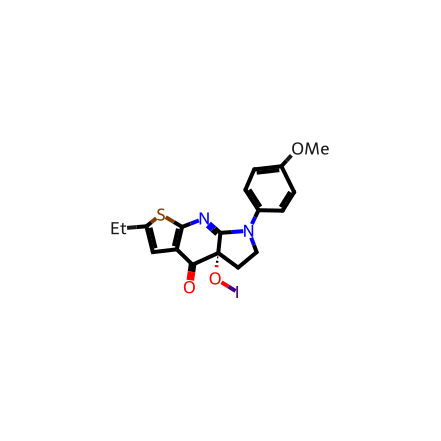 CCc1cc2c(s1)N=C1N(c3ccc(OC)cc3)CC[C@@]1(OI)C2=O